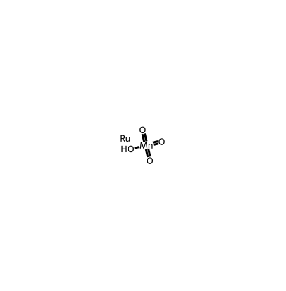 [O]=[Mn](=[O])(=[O])[OH].[Ru]